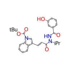 CC(C)N(NC(=O)c1cccc(O)c1)C(=O)C=Cc1cn(C(=O)OC(C)(C)C)c2ccccc12